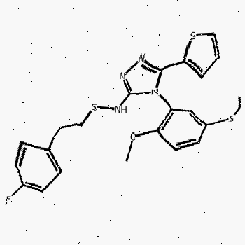 COc1ccc(SC)cc1-n1c(NSCCc2ccc(F)cc2)nnc1-c1cccs1